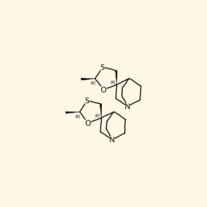 C[C@@H]1O[C@@]2(CS1)CN1CCC2CC1.C[C@@H]1O[C@@]2(CS1)CN1CCC2CC1